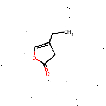 CCC1=COC(=O)C1